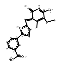 CCC1=C(C)/C(=C\c2ccc(-c3cccc(C(=O)O)c3)o2)C(=O)N=C1O